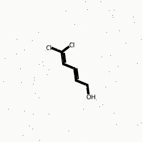 OC/C=C/C=C(Cl)Cl